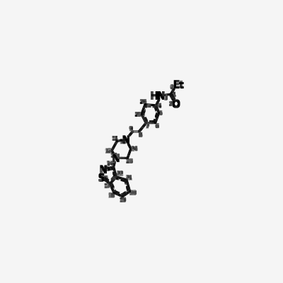 CCC(=O)Nc1ccc(CCN2CCN(c3nsc4ccccc34)CC2)cc1